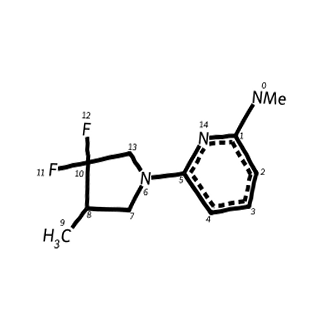 CNc1cccc(N2CC(C)C(F)(F)C2)n1